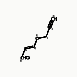 C#CCO/C=C/C=O